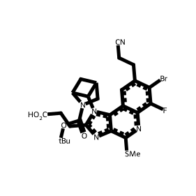 CSc1nc2c(F)c(Br)c(CCC#N)cc2c2c1nc(CCC(=O)O)n2C1C2CC1N(C(=O)OC(C)(C)C)C2